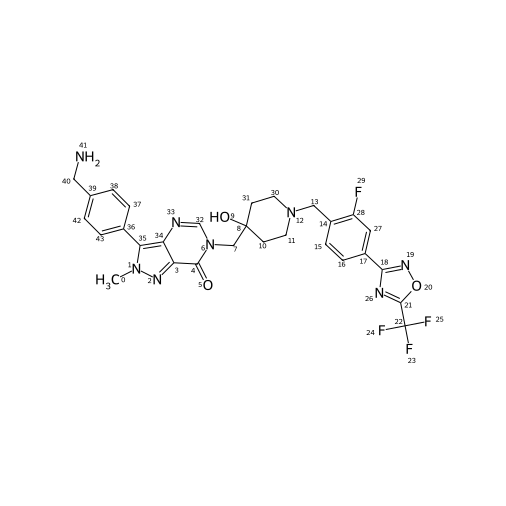 Cn1nc2c(=O)n(CC3(O)CCN(Cc4ccc(-c5noc(C(F)(F)F)n5)cc4F)CC3)cnc2c1-c1ccc(CN)cc1